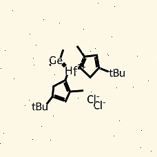 CC1=[C]([Hf+2]([C]2=C(C)C=C(C(C)(C)C)C2)=[Ge]([CH3])[CH3])CC(C(C)(C)C)=C1.[Cl-].[Cl-]